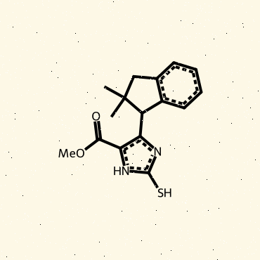 COC(=O)c1[nH]c(S)nc1C1c2ccccc2CC1(C)C